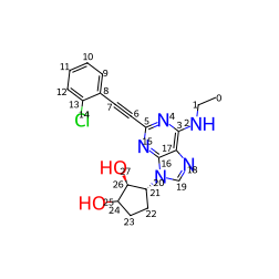 CCNc1nc(C#Cc2ccccc2Cl)nc2c1ncn2[C@@H]1CCC(O)[C@H]1O